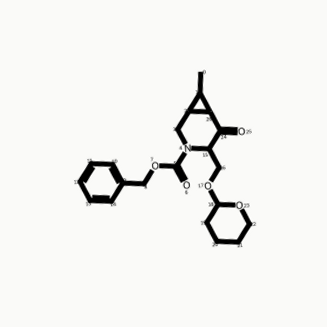 CC1C2CN(C(=O)OCc3ccccc3)C(COC3CCCCO3)C(=O)C12